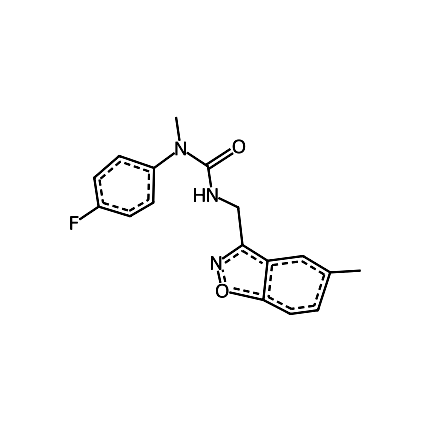 Cc1ccc2onc(CNC(=O)N(C)c3ccc(F)cc3)c2c1